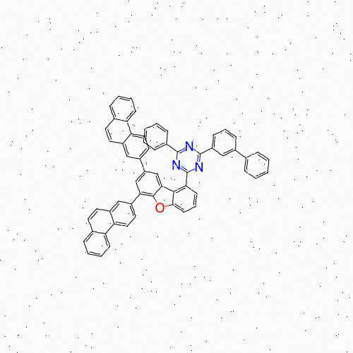 c1ccc(-c2cccc(-c3nc(-c4ccccc4)nc(-c4cccc5oc6c(-c7ccc8c(ccc9ccccc98)c7)cc(-c7ccc8c(ccc9ccccc98)c7)cc6c45)n3)c2)cc1